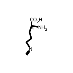 C=NCCC[C@H](N)C(=O)O